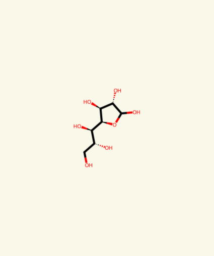 OC[C@@H](O)[C@@H](O)[C@@H]1OC(O)[C@@H](O)[C@@H]1O